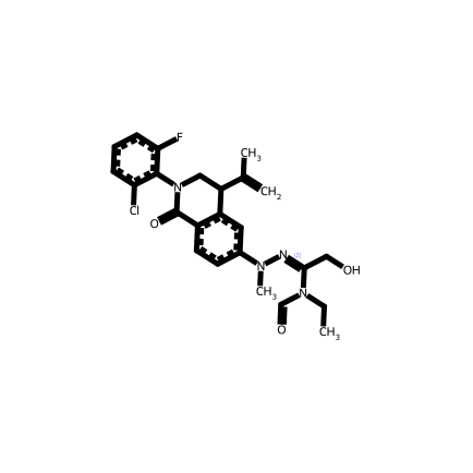 C=C(C)C1CN(c2c(F)cccc2Cl)C(=O)c2ccc(N(C)/N=C(/CO)N(C=O)CC)cc21